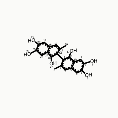 Cc1cc2cc(O)c(O)cc2c(O)c1-c1c(C)cc2cc(O)c(O)cc2c1O